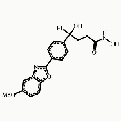 CC[C@@](O)(CCC(=O)NO)c1ccc(-c2nc3cc(OC)ccc3o2)cc1